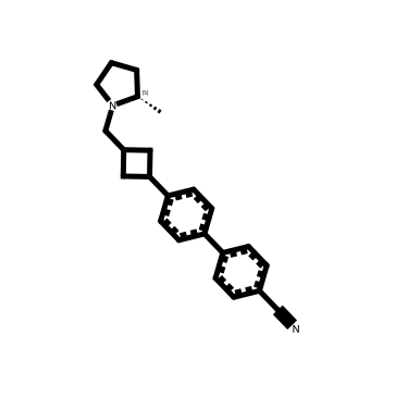 C[C@H]1CCCN1CC1CC(c2ccc(-c3ccc(C#N)cc3)cc2)C1